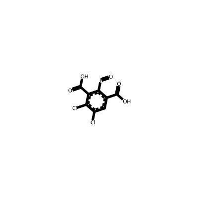 O=Ic1c(C(=O)O)cc(Cl)c(Cl)c1C(=O)O